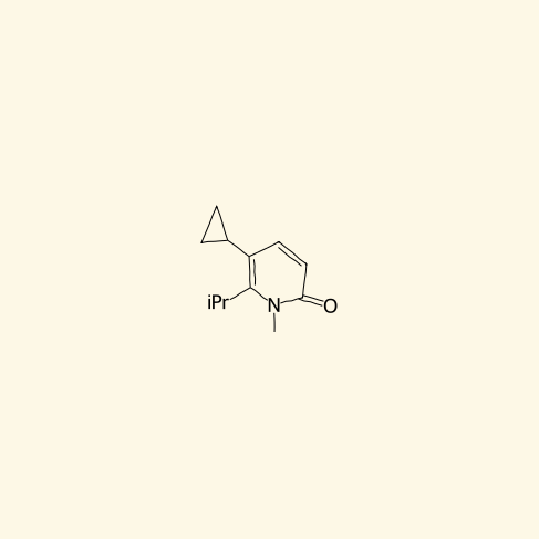 CC(C)c1c(C2CC2)ccc(=O)n1C